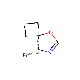 CC(C)[C@H]1N=COC12CCC2